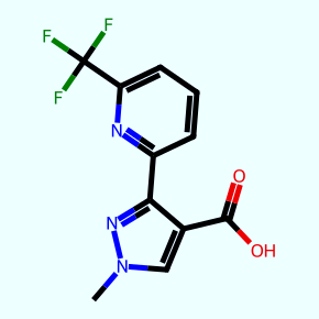 Cn1cc(C(=O)O)c(-c2cccc(C(F)(F)F)n2)n1